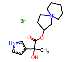 CC(O)(C(=O)OC1CC[N+]2(CCCCC2)C1)c1cc[nH]c1.[Br-]